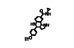 CCOc1ccc(C2Nc3ccc(C(=O)NC4CC4)cc3C3NCCC23)cc1